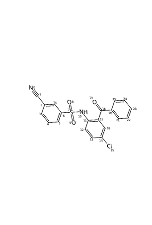 N#Cc1cccc(S(=O)(=O)Nc2ccc(Cl)cc2C(=O)c2ccccc2)c1